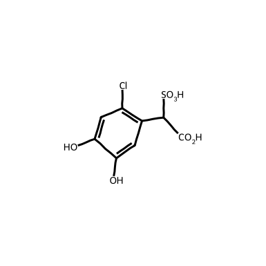 O=C(O)C(c1cc(O)c(O)cc1Cl)S(=O)(=O)O